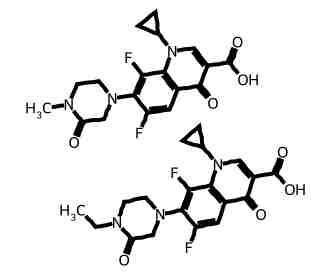 CCN1CCN(c2c(F)cc3c(=O)c(C(=O)O)cn(C4CC4)c3c2F)CC1=O.CN1CCN(c2c(F)cc3c(=O)c(C(=O)O)cn(C4CC4)c3c2F)CC1=O